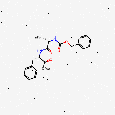 CCCCC[C@H](NC(=O)OCc1ccccc1)C(=O)N[C@@H](Cc1ccccc1)C(=O)OC